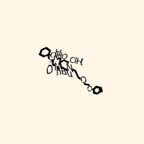 CCCCN1C(=O)[C@@H](CC2(O)CCCCC2)NC(=O)C12CCN(CCOCCOc1ccccc1)CC2.Cl